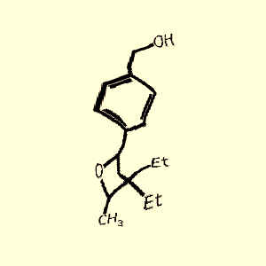 CCC1(CC)C(C)OC1c1ccc(CO)cc1